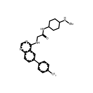 CC(C)(C)NC1CCC(NC(=O)CNc2ncnc3ccc(-c4ccc(C(F)(F)F)cc4)cc23)CC1